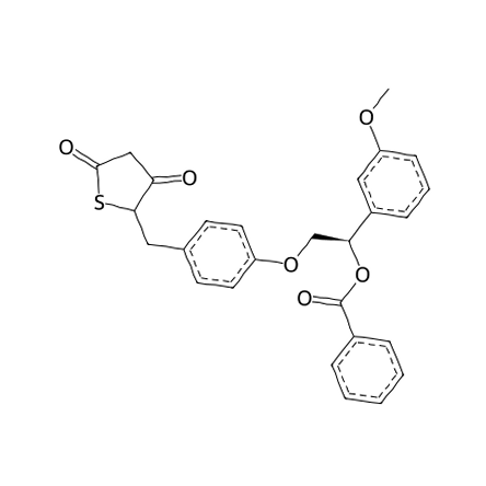 COc1cccc([C@H](COc2ccc(CC3SC(=O)CC3=O)cc2)OC(=O)c2ccccc2)c1